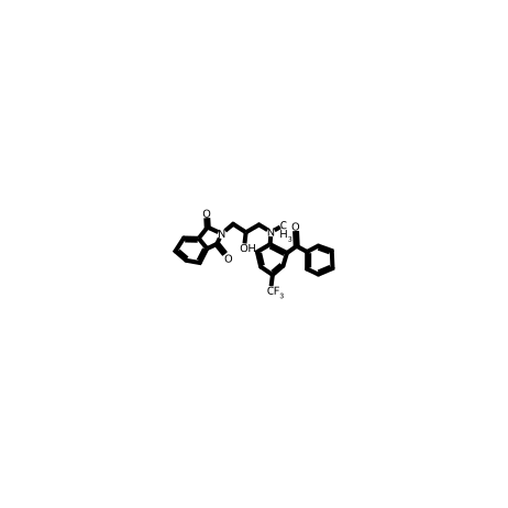 CN(CC(O)CN1C(=O)c2ccccc2C1=O)c1ccc(C(F)(F)F)cc1C(=O)c1ccccc1